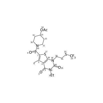 CCn1c(=O)c2c(C)c(C(=O)N3CCC(OC(C)=O)CC3)sc2n(CCSC(F)(F)F)c1=O